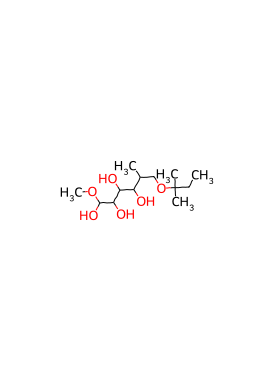 CCC(C)(C)OCC(C)C(O)C(O)C(O)C(O)OC